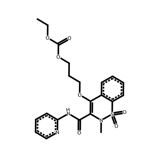 CCOC(=O)OCCCOC1=C(C(=O)Nc2ccccn2)N(C)S(=O)(=O)c2ccccc21